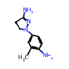 Cc1cc(N2CCC(N)=N2)ccc1N